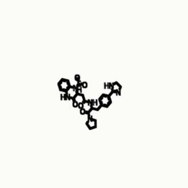 O=C(CC1C(=O)Nc2ccccc2N1[SH](=O)=O)NC(Cc1ccc(C2=NCCN2)cc1)C(=O)N1CCCC1